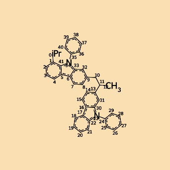 CC(C)c1cccc2c3ccc(CC(C)c4ccc5c6ccccc6n(-c6ccccc6)c5c4)cc3n(-c3ccccc3)c12